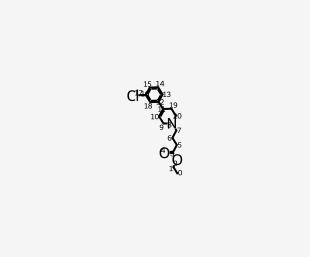 CCOC(=O)CCCN1CC=C(c2cccc(Cl)c2)CC1